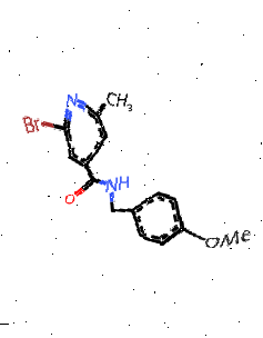 COc1ccc(CNC(=O)c2cc(C)nc(Br)c2)cc1